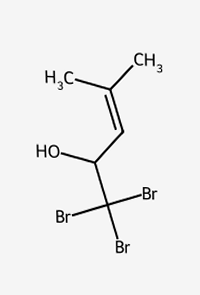 CC(C)=CC(O)C(Br)(Br)Br